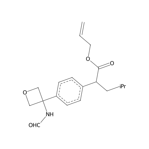 C=CCOC(=O)C(CC(C)C)c1ccc(C2(NC=O)COC2)cc1